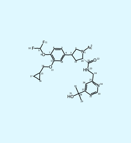 CC(=O)N1CC(c2ccc(OC(F)F)c(OCC3CC3)c2)C[C@H]1C(=O)NCc1cc(C(C)(C)O)ccn1